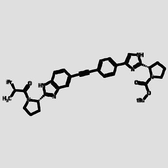 CC(C)[C@H](C)C(=O)N1CCC[C@H]1c1nc2cc(C#Cc3ccc(-c4c[nH]c([C@@H]5CCCN5C(=O)OC(C)(C)C)n4)cc3)ccc2[nH]1